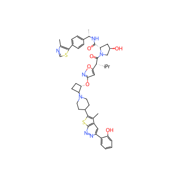 Cc1ncsc1-c1ccc([C@H](C)NC(=O)[C@@H]2C[C@@H](O)CN2C(=O)[C@@H](c2cc(O[C@H]3CC[C@@H]3N3CCC(c4sc5nnc(-c6ccccc6O)cc5c4C)CC3)no2)C(C)C)cc1